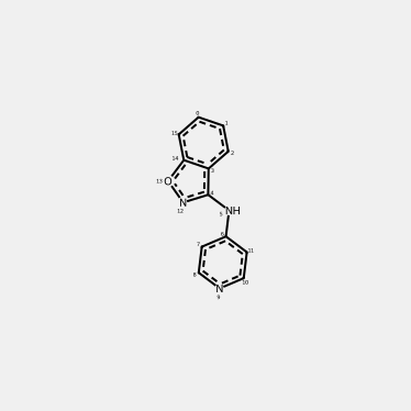 c1ccc2c(Nc3ccncc3)noc2c1